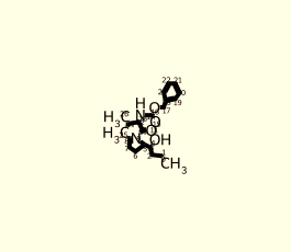 CCC[C@@H](O)C1CCCN1C(=O)[C@H](NC(=O)OCc1ccccc1)C(C)C